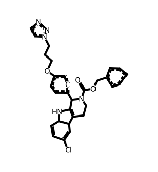 O=C(OCc1ccccc1)N1CCC2=C(NC3C=CC(Cl)=CC23)C1c1ccc(OCCCn2ccnn2)cc1